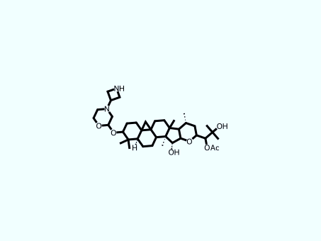 CC(=O)OC(C1C[C@@H](C)C2C(O1)[C@H](O)[C@@]1(C)C3CC[C@H]4C(C)(C)C(OC5CN(C6CNC6)CCO5)CCC45CC35CCC21C)C(C)(C)O